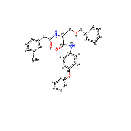 COc1cccc(CC(=O)NC(COCc2ccccc2)C(=O)Nc2ccc(Oc3ccccc3)cc2)c1